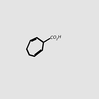 O=C(O)C1C=CCCC=C1